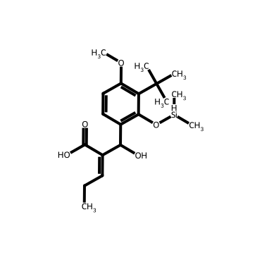 CCC=C(C(=O)O)C(O)c1ccc(OC)c(C(C)(C)C)c1O[SiH](C)C